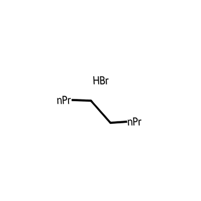 Br.[CH2]CCCCCCC